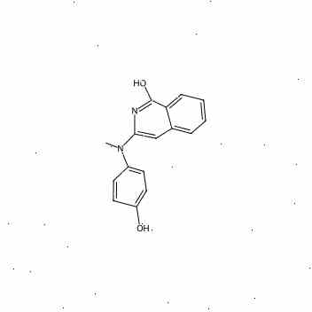 CN(c1ccc(O)cc1)c1cc2ccccc2c(O)n1